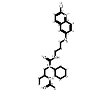 CCC(CN(C(=O)NCCCOc1ccc2nc(Cl)ccc2c1)C1CCCCC1)OC(C)=O